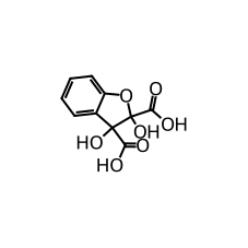 O=C(O)C1(O)Oc2ccccc2C1(O)C(=O)O